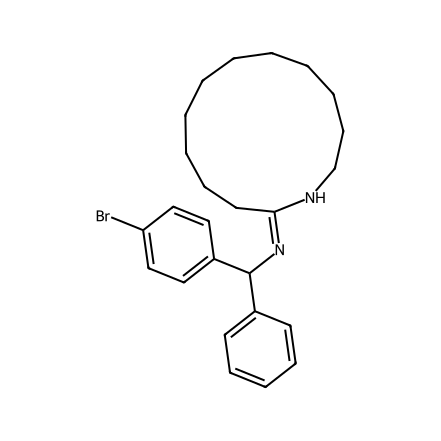 Brc1ccc(C(/N=C2\CCCCCCCCCCCN2)c2ccccc2)cc1